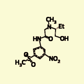 CC[C@H](CO)N(C)CC(=O)Nc1cc([N+](=O)[O-])cc(S(C)(=O)=O)c1